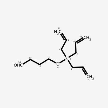 C=CC[Si](CC=C)(CC=C)OCCCC=O